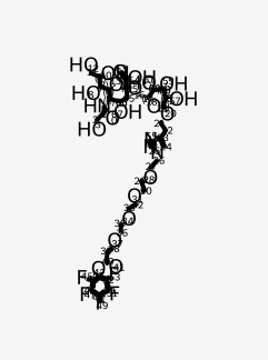 O=C(CO)N[C@H]1[C@H]([C@H](O)[C@H](O)CO)O[C@](OC[C@H]2O[C@@H](OCCc3cn(CCOCCOCCOCCOCCC(=O)Oc4c(F)c(F)c(F)c(F)c4F)nn3)[C@H](O)[C@@H](O)[C@H]2O)(C(=O)O)C[C@@H]1O